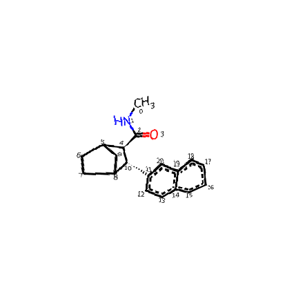 CNC(=O)[C@@H]1C2CCC(C2)[C@H]1c1ccc2ccccc2c1